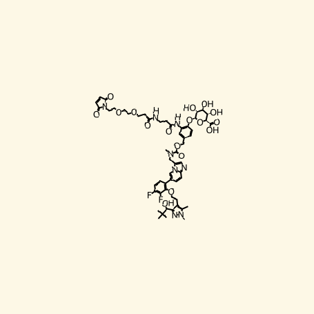 Cc1c(CCOc2c(-c3ccc4ncc(CN(C)C(=O)OCc5ccc(O[C@@H]6O[C@H](C(=O)O)[C@@H](O)[C@H](O)[C@H]6O)c(NC(=O)CCNC(=O)CCOCCOCCN6C(=O)C=CC6=O)c5)n4c3)ccc(F)c2F)c(C(O)C(C)(C)C)nn1C